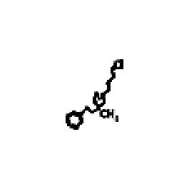 CC(=O)CC(C)(CCCCCCCl)CCc1ccccc1